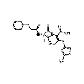 Cc1nnc(SC2=C(C(=O)O)N3C(=O)[C@@H](NC(=O)CSc4ccccc4)[C@@H]3SC2)s1